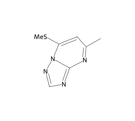 [CH2]Sc1cc(C)nc2ncnn12